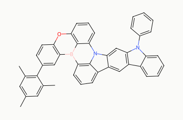 Cc1cc(C)c(-c2ccc3c(c2)B2c4c(cccc4-n4c5cc6c(cc5c5cccc2c54)c2ccccc2n6-c2ccccc2)O3)c(C)c1